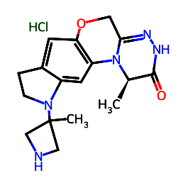 C[C@@H]1C(=O)NN=C2COc3cc4c(cc3N21)N(C1(C)CNC1)CC4.Cl